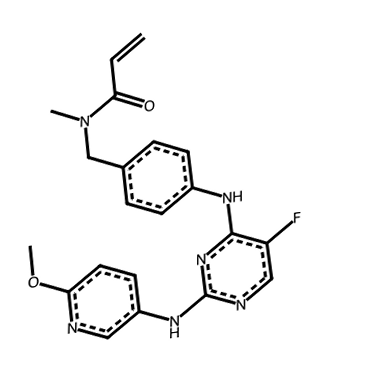 C=CC(=O)N(C)Cc1ccc(Nc2nc(Nc3ccc(OC)nc3)ncc2F)cc1